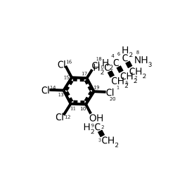 C=C.C=C.C=C.C=C.N.Oc1c(Cl)c(Cl)c(Cl)c(Cl)c1Cl